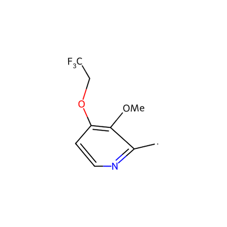 [CH2]c1nccc(OCC(F)(F)F)c1OC